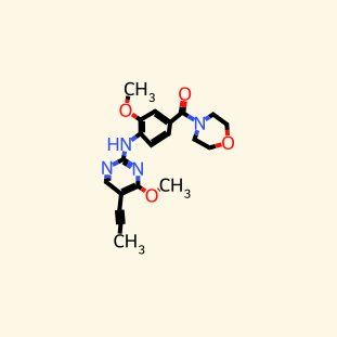 CC#Cc1cnc(Nc2ccc(C(=O)N3CCOCC3)cc2OC)nc1OC